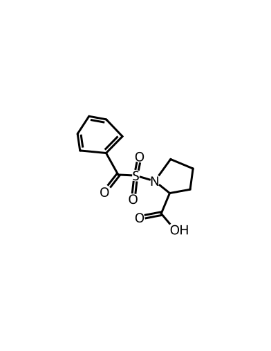 O=C(O)C1CCCN1S(=O)(=O)C(=O)c1ccccc1